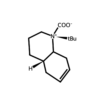 CC(C)(C)[N@+]1(C(=O)[O-])CCC[C@H]2CC=CCC21